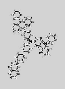 c1ccc(-c2c3ccccc3c(-c3ccc(N(c4ccc(-c5ccc(-c6ccc7ccccc7c6)cc5)cc4)c4ccc5c(c4)c4ccccc4n5-c4ccccc4)cc3)c3ccccc23)cc1